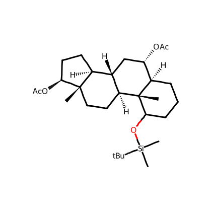 CC(=O)O[C@H]1C[C@H]2[C@@H]3CC[C@H](OC(C)=O)[C@@]3(C)CC[C@@H]2[C@@]2(C)C(O[Si](C)(C)C(C)(C)C)CCC[C@H]12